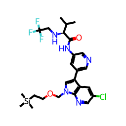 CC(C)[C@H](NCC(F)(F)F)C(=O)Nc1cncc(-c2cn(COCC[Si](C)(C)C)c3ncc(Cl)cc23)c1